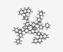 c1ccc(-c2cccc(N(c3ccc(-c4ccncc4)cn3)c3ccc4c5cc(-c6ccc(-c7c8ccccc8cc8ccccc78)nc6)cc6oc7c(-c8nc9ccccc9c9cc(-c%10ccccc%10)ccc89)ccc(c8ccc(-c9ccc(-c%10ccccc%10)c(-c%10cccc%11ccccc%10%11)c9)c9oc3c4c98)c7c65)c2)cc1